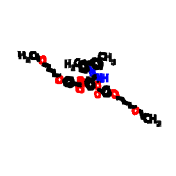 C=CCOCCCCCCOc1ccc(C(=O)Oc2ccc(OC(=O)c3ccc(OCCCCCCOCC=C)cc3)c(C(=N)n3c4ccc(C)cc4c4cc(C)ccc43)c2)cc1